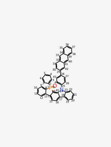 O=P1(c2ccccc2)c2ccccc2-c2ccc3c4ccccc4n(-c4ccc(-c5ccc6cc7ccccc7cc6c5)cc4)c3c21